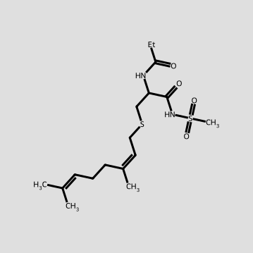 CCC(=O)NC(CSCC=C(C)CCC=C(C)C)C(=O)NS(C)(=O)=O